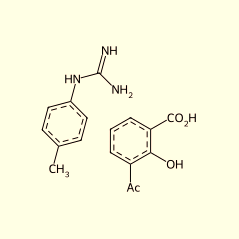 CC(=O)c1cccc(C(=O)O)c1O.Cc1ccc(NC(=N)N)cc1